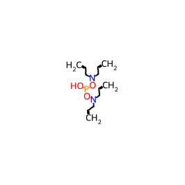 C=CCN(CC=C)OP(O)ON(CC=C)CC=C